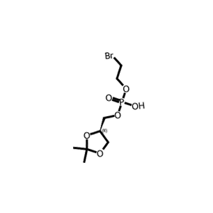 CC1(C)OC[C@H](COP(=O)(O)OCCBr)O1